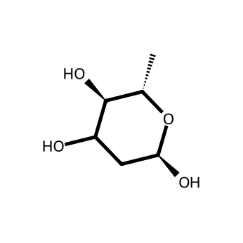 C[C@@H]1O[C@@H](O)CC(O)[C@H]1O